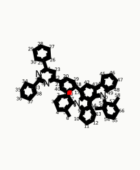 Cc1cccc(C)c1-n1c2ccccc2c2c1c(-c1ccc(-c3cc(-c4ccccc4)nc(-c4ccccc4)n3)cc1)cc1c3ccccc3n(-c3c(C)cccc3C)c12